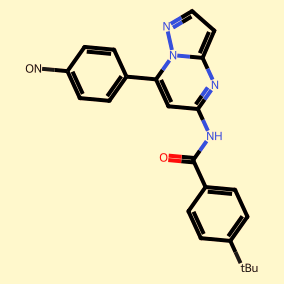 CC(C)(C)c1ccc(C(=O)Nc2cc(-c3ccc(N=O)cc3)n3nccc3n2)cc1